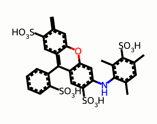 C=c1cc2c(cc1S(=O)(=O)O)=C(c1ccccc1S(=O)(=O)O)c1cc(S(=O)(=O)O)c(Nc3c(C)cc(C)c(S(=O)(=O)O)c3C)cc1O2